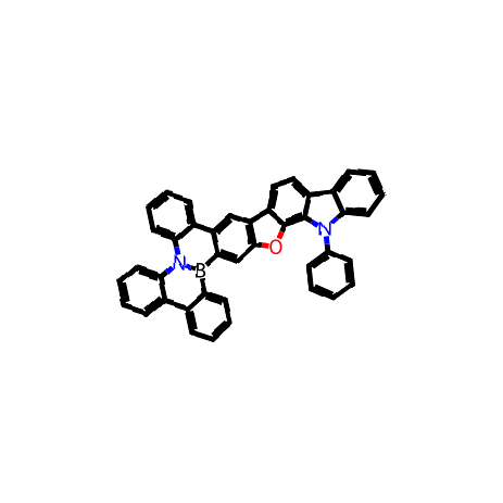 c1ccc(-n2c3ccccc3c3ccc4c5cc6c(cc5oc4c32)B2c3ccccc3-c3ccccc3N2c2ccccc2-6)cc1